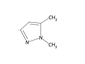 Cc1c[c]nn1C